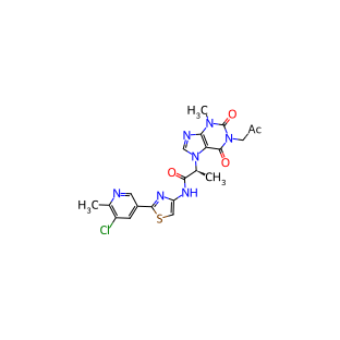 CC(=O)Cn1c(=O)c2c(ncn2[C@@H](C)C(=O)Nc2csc(-c3cnc(C)c(Cl)c3)n2)n(C)c1=O